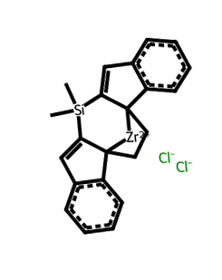 C[Si]1(C)C2=Cc3ccccc3[C]23CC[C]2([Zr+2]3)C1=Cc1ccccc12.[Cl-].[Cl-]